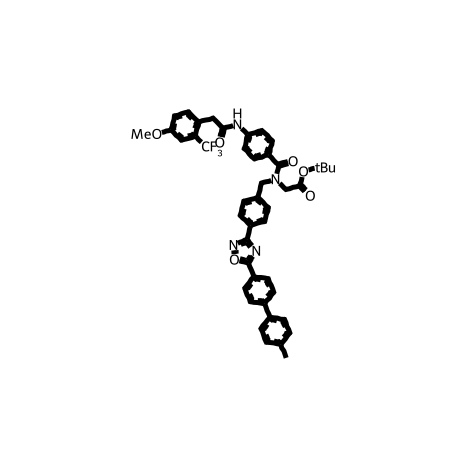 COc1ccc(CC(=O)Nc2ccc(C(=O)N(CC(=O)OC(C)(C)C)Cc3ccc(-c4noc(-c5ccc(-c6ccc(C)cc6)cc5)n4)cc3)cc2)c(C(F)(F)F)c1